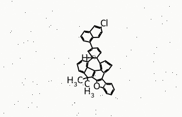 CC1(C)c2cccc3c2-c2c1c1oc4ccccc4c1c1cccc(c21)C1C=CC(c2cccc4cc(Cl)ccc24)=C[C@@H]31